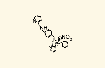 O=[N+]([O-])c1ccccc1S(=O)(=O)N(Cc1ccc(CNCc2ccccn2)cc1)Cc1ccccn1